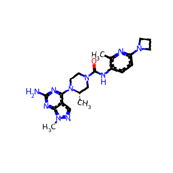 Cc1nc(N2CCC2)ccc1NC(=O)N1CCN(c2nc(N)nc3c2cnn3C)[C@@H](C)C1